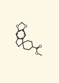 COC(=O)C1CCC2(CCc3cc4c(cc32)OCO4)CC1